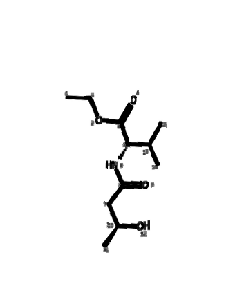 CCOC(=O)[C@@H](NC(=O)C[C@H](C)O)C(C)C